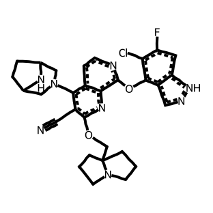 N#Cc1c(OCC23CCCN2CCC3)nc2c(Oc3c(Cl)c(F)cc4[nH]ncc34)nccc2c1N1CC2CCC(C1)N2